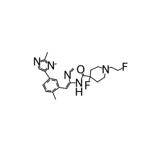 C=N/C(=C\c1cc(-c2cnc(C)n2C)ccc1C)NC(=O)C1(F)CCN(CCF)CC1